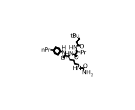 CCCc1ccc(NC(=O)[C@H](CCCCNC(N)=O)NC(=O)[C@@H](NC(=O)CCC(C)(C)C)C(C)C)cc1